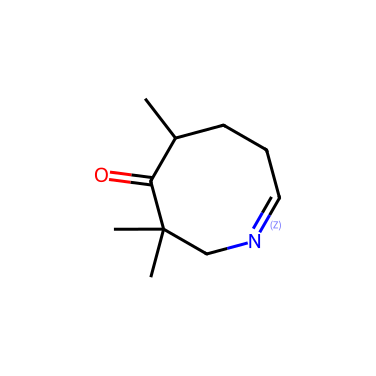 CC1CC/C=N\CC(C)(C)C1=O